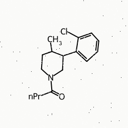 [CH2]CCC(=O)N1CCC(C)C(c2ccccc2Cl)C1